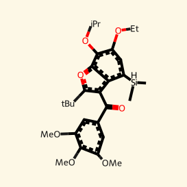 CCOc1cc([SiH](C)C)c2c(C(=O)c3cc(OC)c(OC)c(OC)c3)c(C(C)(C)C)oc2c1OC(C)C